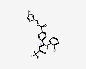 N=C(/C=C(\Nc1ccccc1Cl)c1ccc(C(=O)OCc2c[nH]cn2)cc1)C(F)(F)F